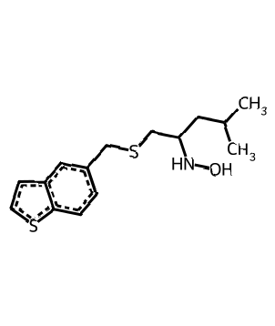 CC(C)CC(CSCc1ccc2sccc2c1)NO